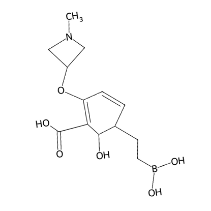 CN1CC(OC2=C(C(=O)O)C(O)C(CCB(O)O)C=C2)C1